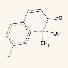 CC1(O)C(=O)C=Cc2ccc(F)cc21